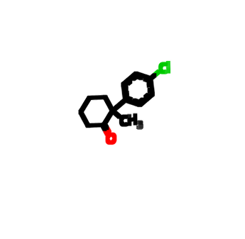 CC1(c2ccc(Cl)cc2)CCCCC1=O